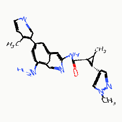 Cc1ccncc1-c1cc(N)c2cnc(NC(=O)[C@H]3[C@@H](C)[C@@H]3c3cnn(C)c3)cc2c1